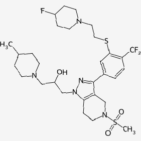 CC1CCN(CC(O)Cn2nc(-c3ccc(C(F)(F)F)c(SCCN4CCC(F)CC4)c3)c3c2CCN(S(C)(=O)=O)C3)CC1